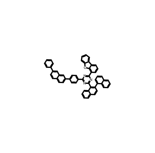 c1ccc(-c2ccc3ccc(-c4ccc(-c5nc(-c6c(-c7cccc8ccccc78)ccc7ccccc67)nc(-c6cccc7c6oc6ccccc67)n5)cc4)cc3c2)cc1